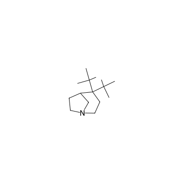 CC(C)(C)C1(C(C)(C)C)CCN2CCC1C2